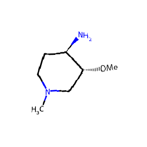 CO[C@@H]1CN(C)CC[C@H]1N